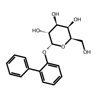 OC[C@H]1O[C@H](Oc2ccccc2-c2ccccc2)[C@H](O)[C@@H](O)[C@H]1O